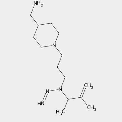 C=C(C)C(C)N(CCCN1CCC(CN)CC1)N=N